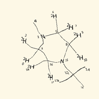 [2H]C1([2H])N(C)C([2H])([2H])C([2H])([2H])N(C(C)(C)C)C1([2H])[2H]